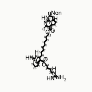 CCCCCCCCC[C@H]1C[C@H]2CC[C@H]3[C@@H](C(=O)OCCCCCCCCCC4NC(=N)N5CCCC5=C4C(=O)OCCCCNC(=N)N)[C@@H](C)N=C(N1)N23